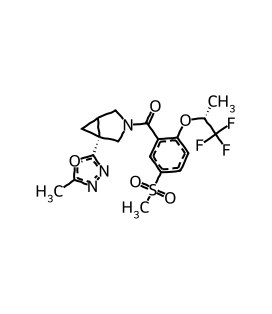 Cc1nnc([C@]23CC2CN(C(=O)c2cc(S(C)(=O)=O)ccc2O[C@H](C)C(F)(F)F)C3)o1